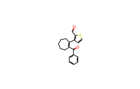 O=Cc1sccc1C1=C(C(=O)c2ccccc2)CCCCC1